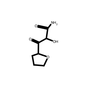 NC(=O)C(O)C(=O)C1CCCO1